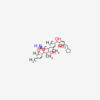 C=C/C=C\[C@H](C)C(OC(N)=O)C(C)C(O)C(C)C/C(C)=C\[C@H](C)[C@@H](O)[C@@H](C)/C=C\C(O)CC1CCCC1